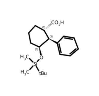 CC(C)(C)[Si](C)(C)O[C@H]1CCC[C@H](C(=O)O)[C@H]1c1ccccc1